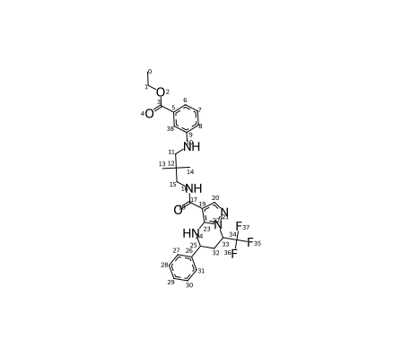 CCOC(=O)c1cccc(NCC(C)(C)CNC(=O)c2cnn3c2NC(c2ccccc2)CC3C(F)(F)F)c1